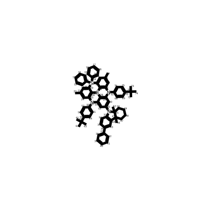 Cc1cc2c3c(c1)[Si](c1ccccc1)(c1ccccc1)c1cc(C)cc4c1B3c1c(cc(N3c5ccc(-c6ccccc6)cc5C5(C)CCCCC35C)cc1N4c1ccc(C(C)(C)C)cc1)N2c1ccc(C(C)(C)C)cc1